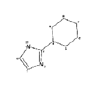 C1=CN=C(C2CCCCC2)[N]1